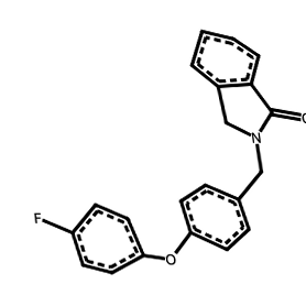 O=C1c2ccccc2CN1Cc1ccc(Oc2ccc(F)cc2)cc1